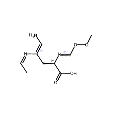 C/C=N\C(=C/N)C[C@@H](/N=C/OOC)C(=O)O